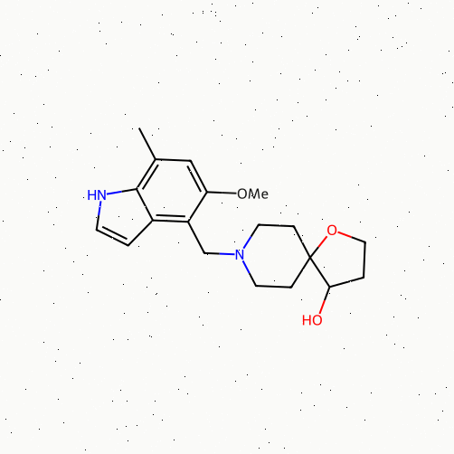 COc1cc(C)c2[nH]ccc2c1CN1CCC2(CC1)OCCC2O